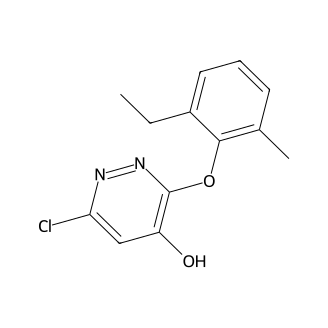 CCc1cccc(C)c1Oc1nnc(Cl)cc1O